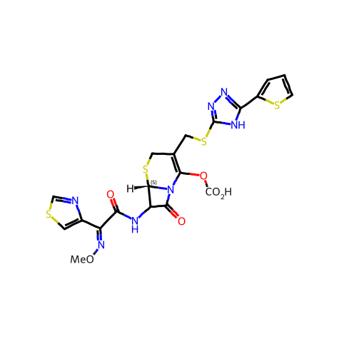 CON=C(C(=O)NC1C(=O)N2C(OC(=O)O)=C(CSc3nnc(-c4cccs4)[nH]3)CS[C@@H]12)c1cscn1